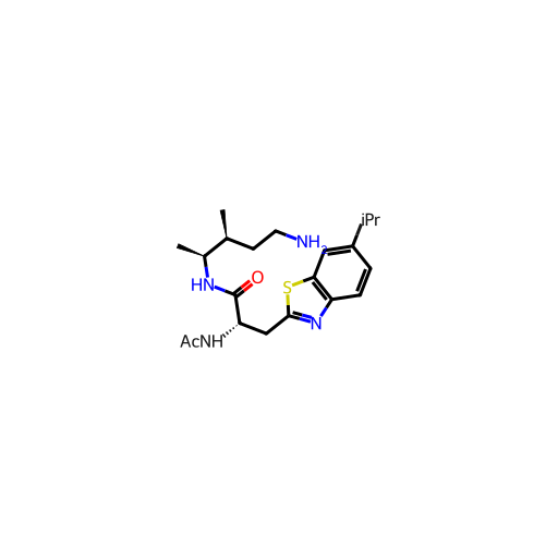 CC(=O)N[C@@H](Cc1nc2ccc(C(C)C)cc2s1)C(=O)N[C@@H](C)[C@@H](C)CCN